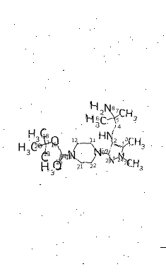 Cc1c(NCC(C)(C)N)c(N2CCN(C(=O)OC(C)(C)C)CC2)nn1C